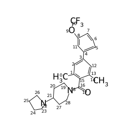 Cc1cc(-c2cccc(OC(F)(F)F)c2)cc(C)c1C(=O)N1CCC(N2CCCC2)CC1